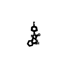 O=c1c2n[nH]c3c(c-2nn1-c1ccc(F)cc1)CCCC3